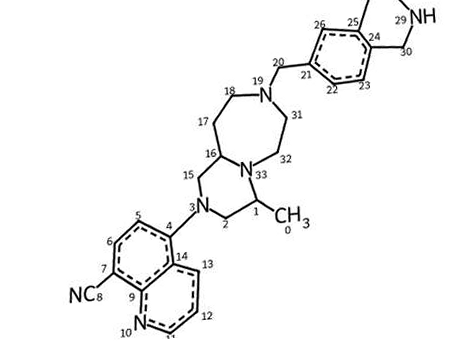 CC1CN(c2ccc(C#N)c3ncccc23)CC2CCN(Cc3ccc4c(c3)CCNC4)CCN12